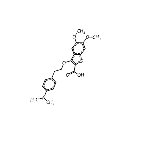 COc1cc2sc(C(=O)O)c(OCCc3ccc(N(C)C)cc3)c2cc1OC